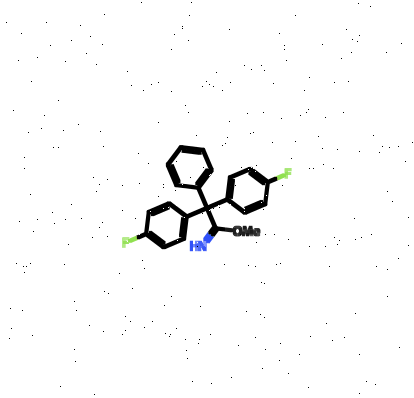 COC(=N)C(c1ccccc1)(c1ccc(F)cc1)c1ccc(F)cc1